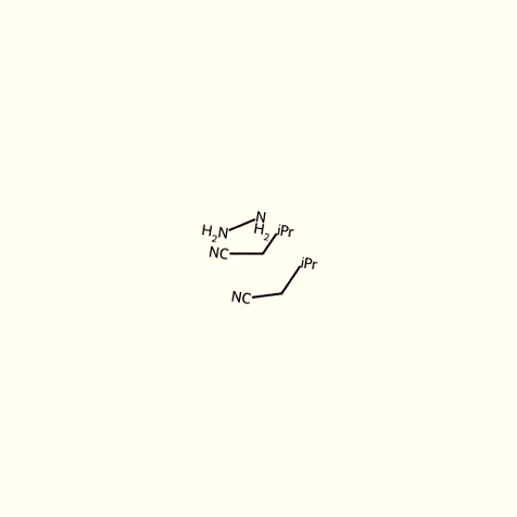 CC(C)CC#N.CC(C)CC#N.NN